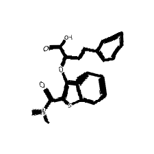 CN(C)C(=O)c1sc2ccccc2c1OC(CCc1ccccc1)C(=O)O